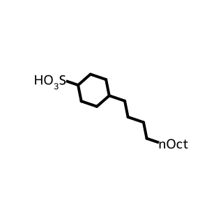 CCCCCCCCCCCCC1CCC(S(=O)(=O)O)CC1